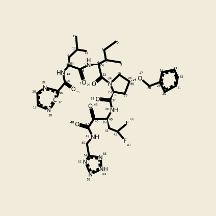 CCC(C)[C@H](NC(=O)[C@H](CC(C)C)NC(=O)c1cnccn1)C(=O)N1C[C@H](OCc2ccccc2)C[C@H]1C(=O)N[C@@H](CC(F)F)C(=O)C(=O)NCc1nn[nH]n1